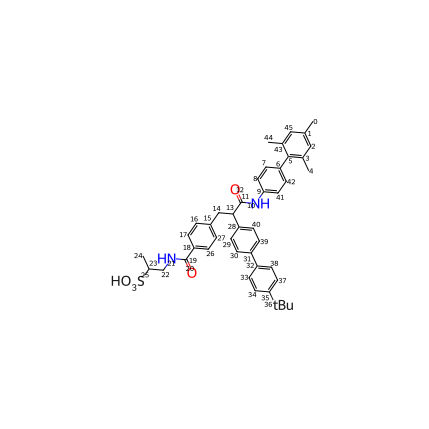 Cc1cc(C)c(-c2ccc(NC(=O)C(Cc3ccc(C(=O)NCC(C)S(=O)(=O)O)cc3)c3ccc(-c4ccc(C(C)(C)C)cc4)cc3)cc2)c(C)c1